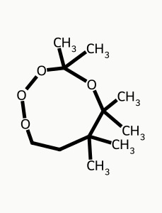 CC1(C)OOOCCC(C)(C)C(C)(C)O1